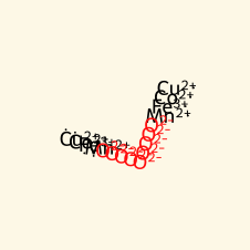 [Co+2].[Co+2].[Cu+2].[Cu+2].[Fe+3].[Fe+3].[Mn+2].[Mn+2].[O-2].[O-2].[O-2].[O-2].[O-2].[O-2].[O-2].[O-2].[O-2]